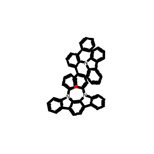 c1ccc(-c2cccc(-c3ccc(-n4c5ccccc5c5ccc6c7ccccc7n(-c7ccccc7)c6c54)cc3)c2-n2c3ccccc3c3ccccc32)cc1